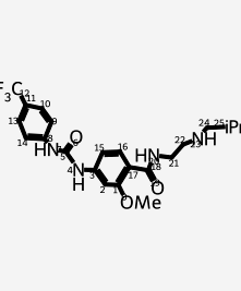 COc1cc(NC(=O)Nc2ccc(C(F)(F)F)cc2)ccc1C(=O)NCCNCC(C)C